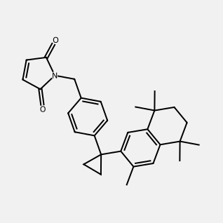 Cc1cc2c(cc1C1(c3ccc(CN4C(=O)C=CC4=O)cc3)CC1)C(C)(C)CCC2(C)C